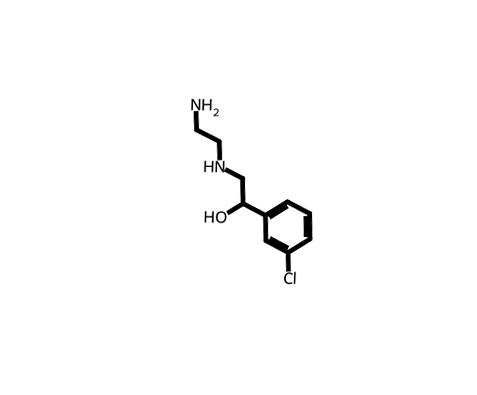 NCCNCC(O)c1cccc(Cl)c1